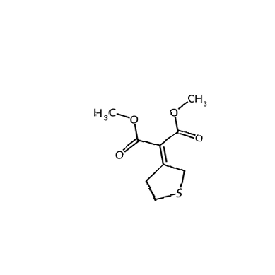 COC(=O)C(C(=O)OC)=C1CCSC1